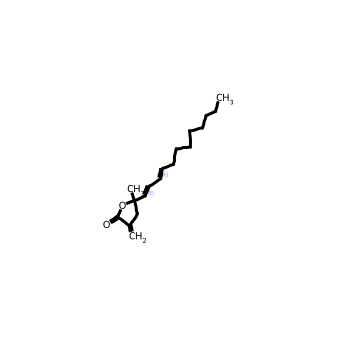 C=C1CC(C)(/C=C/C=C/CCCCCCCC)OC1=O